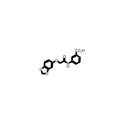 O=C(COc1ccc2c(c1)OCO2)Nc1cccc(C(=O)O)c1